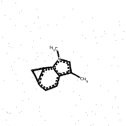 Cc1cn(C)c2c3c(ccc12)C3